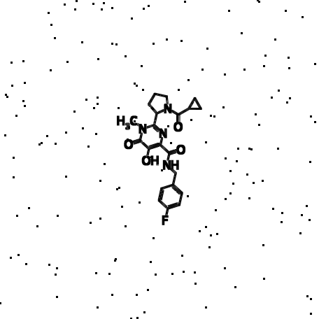 Cn1c(C2CCCN2C(=O)C2CC2)nc(C(=O)NCc2ccc(F)cc2)c(O)c1=O